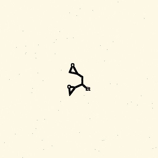 CCC(CC1CO1)C1CO1